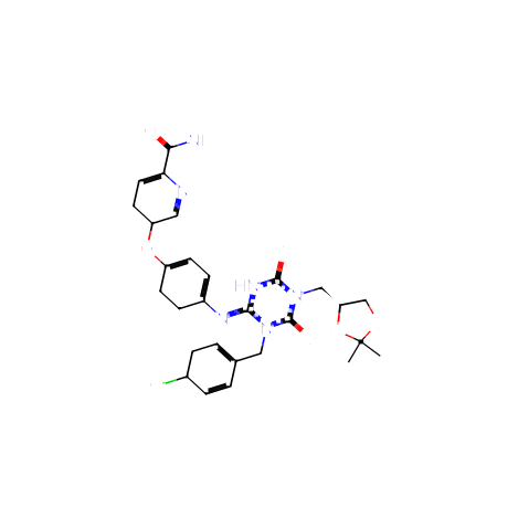 CC1(C)OC[C@H](Cn2c(=O)[nH]/c(=N\C3=CC=C(OC4C=NC(C(N)=O)=CC4)CC3)n(CC3=CCC(Cl)C=C3)c2=O)O1